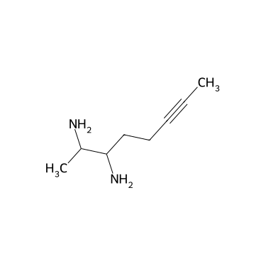 CC#CCCC(N)C(C)N